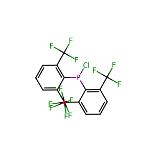 FC(F)(F)c1cccc(C(F)(F)F)c1P(Cl)c1c(C(F)(F)F)cccc1C(F)(F)F